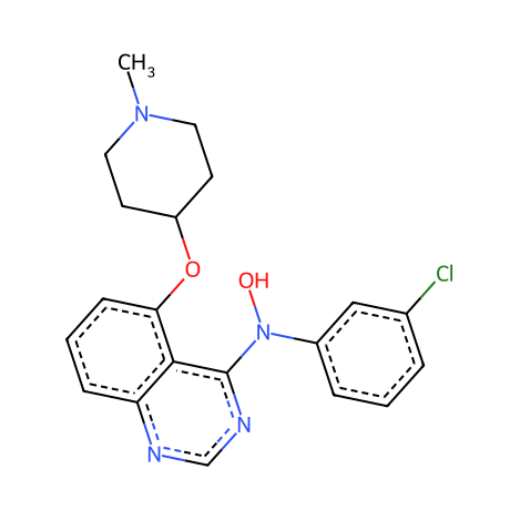 CN1CCC(Oc2cccc3ncnc(N(O)c4cccc(Cl)c4)c23)CC1